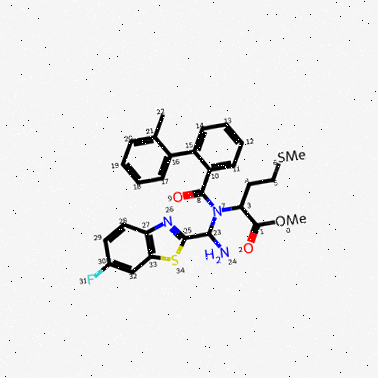 COC(=O)C(CCSC)N(C(=O)c1ccccc1-c1ccccc1C)C(N)c1nc2ccc(F)cc2s1